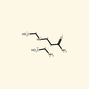 NC(=O)CCNCC(=O)O.NCC(=O)O